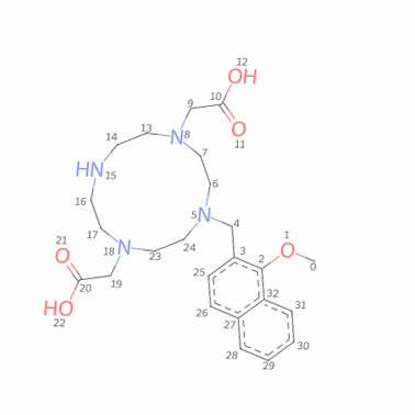 COc1c(CN2CCN(CC(=O)O)CCNCCN(CC(=O)O)CC2)ccc2ccccc12